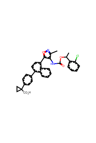 Cc1noc(-c2ccc(-c3ccc(C4(C(=O)O)CC4)cc3)c3ccccc23)c1NC(=O)OC(C)c1ccccc1Cl